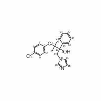 CC(C)(Oc1ccc(Cl)cc1)C(O)(Cn1ccnc1)c1ccccc1